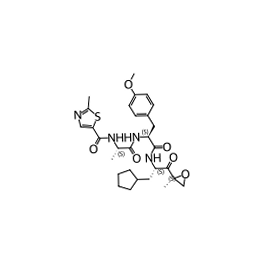 COc1ccc(C[C@H](NC(=O)[C@H](C)NC(=O)c2cnc(C)s2)C(=O)N[C@@H](CC2CCCC2)C(=O)[C@]2(C)CO2)cc1